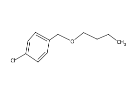 CCCCOCc1ccc(Cl)cc1